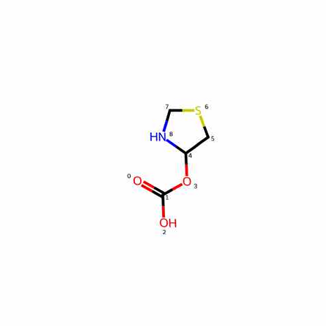 O=C(O)OC1CSCN1